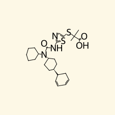 CC(C)(Sc1cnc(NC(=O)N(C2CCCCC2)[C@H]2CC[C@H](C3C=CC=CC3)CC2)s1)C(=O)O